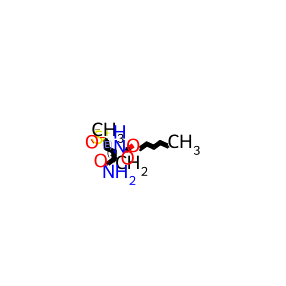 C=C(C(N)=O)[C@H](/C=C/[S+](C)[O-])NC(=O)OCCCCCC